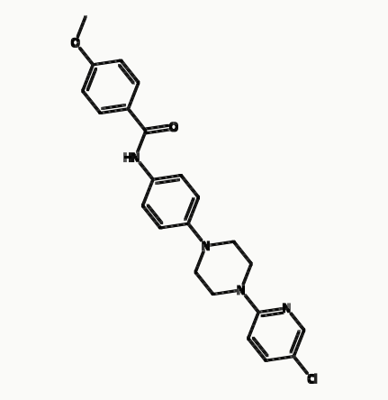 COc1ccc(C(=O)Nc2ccc(N3CCN(c4ccc(Cl)cn4)CC3)cc2)cc1